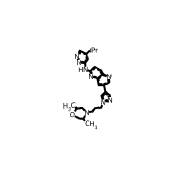 CC1CN(CCCn2cc(-c3cnc4ccc(Nc5cc(C(C)C)cnn5)nc4c3)cn2)C(C)CO1